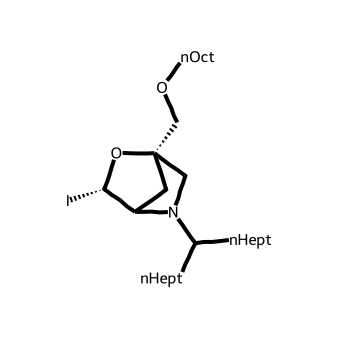 CCCCCCCCOC[C@]12CC([C@H](I)O1)N(C(CCCCCCC)CCCCCCC)C2